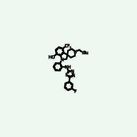 CC(C)(C)CN1CCC2(CC1)CN(c1ccccc1Nc1nnc(-c3cccc(F)c3)s1)c1c(O)ccc(C(F)(F)F)c12